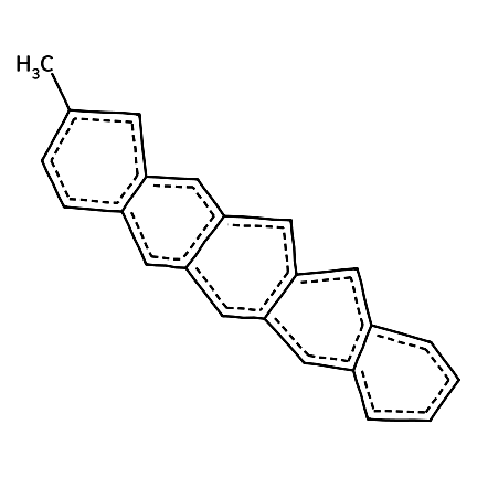 Cc1ccc2cc3cc4cc5ccccc5cc4cc3cc2c1